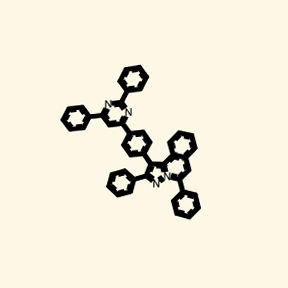 c1ccc(-c2cc(-c3ccc(-c4c(-c5ccccc5)nn5c(-c6ccccc6)cc6ccccc6c45)cc3)nc(-c3ccccc3)n2)cc1